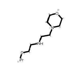 CC(C)OCCNCCN1CCOCC1